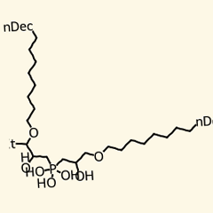 CCCCCCCCCCCCCCCCCCOCC(O)CP(O)(O)(O)CC(O)C(CC)OCCCCCCCCCCCCCCCCCC